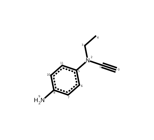 C#CN(CC)c1ccc(N)cc1